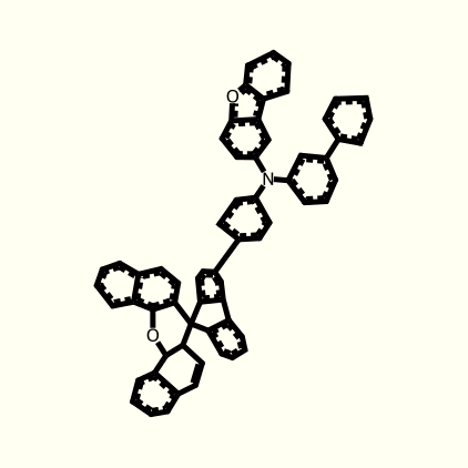 C1=CC2C(Oc3c(ccc4ccccc34)C23c2ccccc2-c2cc(-c4ccc(N(c5cccc(-c6ccccc6)c5)c5ccc6oc7ccccc7c6c5)cc4)ccc23)c2ccccc21